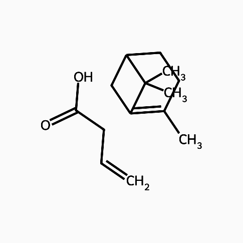 C=CCC(=O)O.CC1=C2CC(CC1)C2(C)C